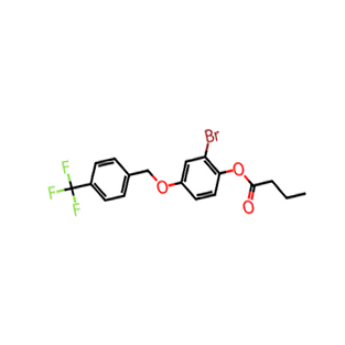 CCCC(=O)Oc1ccc(OCc2ccc(C(F)(F)F)cc2)cc1Br